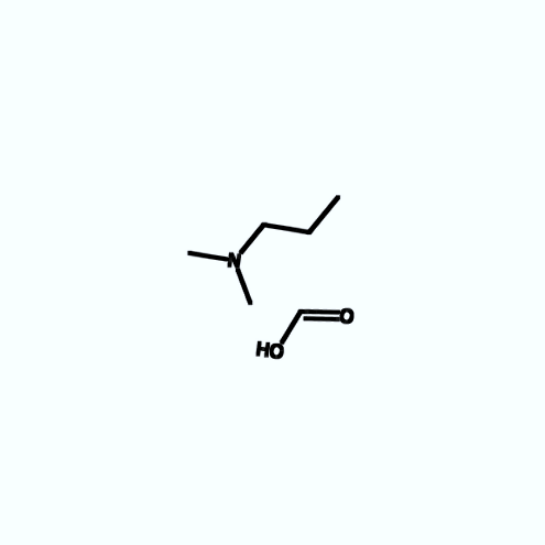 CCCN(C)C.O=CO